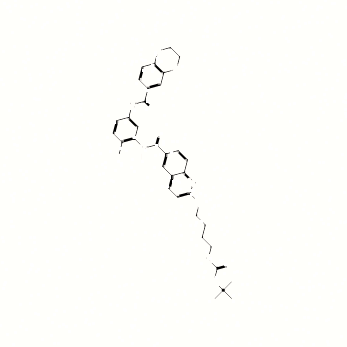 Cc1ccc(NC(=O)c2ccc3c(c2)OCCO3)cc1NC(=O)c1ccc2nc(OCCCCNC(=O)OC(C)(C)C)ccc2c1